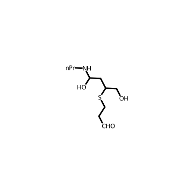 CCCNC(O)CC(CO)SCCC=O